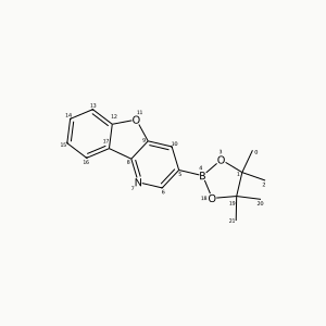 CC1(C)OB(c2cnc3c(c2)oc2ccccc23)OC1(C)C